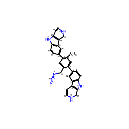 Cc1cc(-c2ccc3[nH]c4c(c3c2)C=CNC4)c(CN=[N+]=[N-])cc1-c1ccc2[nH]c3c(c2c1)CNC=C3